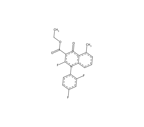 CCOC(=O)c1c(F)n(-c2ccc(F)cc2F)c2cccc(C)c2c1=O